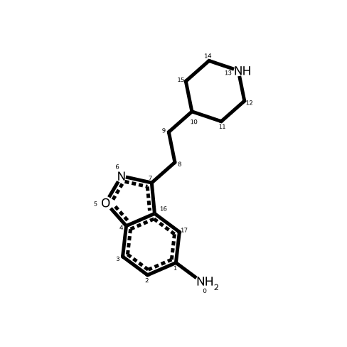 Nc1ccc2onc(CCC3CCNCC3)c2c1